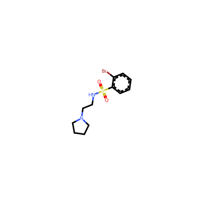 O=S(=O)(NCCN1CCCC1)c1ccccc1Br